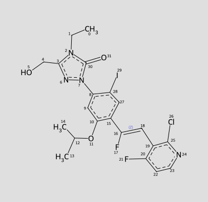 CCn1c(CO)nn(-c2cc(OC(C)C)c(/C(F)=C/c3c(F)ccnc3Cl)cc2I)c1=O